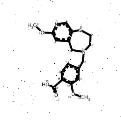 COc1cc2c(cn1)SCCN(Cc1ccc(C(=O)O)c(OC)c1)C2